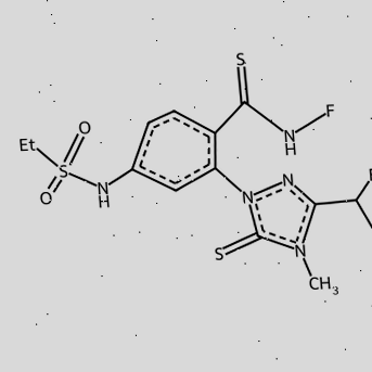 CCS(=O)(=O)Nc1ccc(C(=S)NF)c(-n2nc(C(F)F)n(C)c2=S)c1